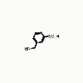 [NH]Cc1cccc(S(=O)(=O)O)c1